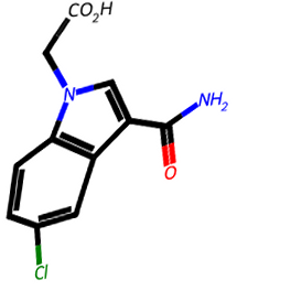 NC(=O)c1cn(CC(=O)O)c2ccc(Cl)cc12